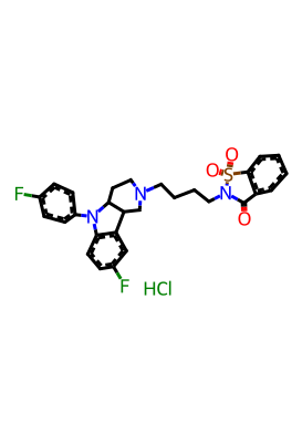 Cl.O=C1c2ccccc2S(=O)(=O)N1CCCCN1CCC2C(C1)c1cc(F)ccc1N2c1ccc(F)cc1